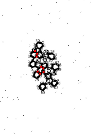 c1ccc(-c2cccc(-c3ccccc3)c2N2c3cc4c(cc3B3c5ccccc5Oc5c3c2cc2oc3ccccc3c52)B2c3ccccc3Sc3c2c(cc2c3c3ccccc3n2-c2ccccc2)N4c2ccccc2)cc1